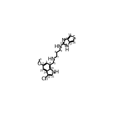 COc1cc(CNCCCNc2nc3cscc3[nH]2)c2[nH]cc(Cl)c2c1